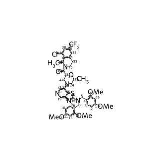 COc1ccc(CN(Cc2ccc(OC)cc2OC)c2nc3cncc(N4C[C@@H](C)O[C@@H](C(=O)N5CCc6cc(C(F)(F)F)cc(Cl)c6[C@@H]5C)C4)c3s2)c(OC)c1